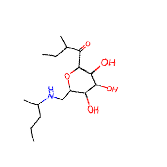 CCCC(C)NCC1OC(C(=O)C(C)CC)C(O)C(O)C1O